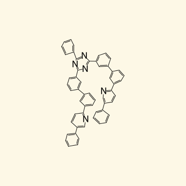 c1ccc(-c2ccc(-c3cccc(-c4cccc(-c5nc(-c6ccccc6)nc(-c6cccc(-c7cccc(-c8ccc(-c9ccccc9)cn8)c7)c6)n5)c4)c3)nc2)cc1